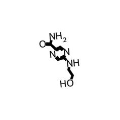 NC(=O)c1cnc(NCCO)cn1